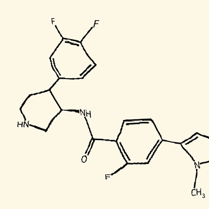 Cn1nccc1-c1ccc(C(=O)N[C@H]2CNCCC2c2ccc(F)c(F)c2)c(F)c1